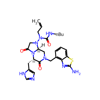 C=CCN(C(=O)NCCCC)N1CC(=O)N2[C@@H](Cc3cnc[nH]3)C(=O)N(Cc3cccc4sc(N)nc34)C[C@@H]21